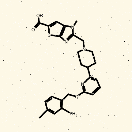 Cc1ccc(COc2cccc(C3CCN(Cc4nc5sc(C(=O)O)cc5n4C)CC3)n2)c(P)c1